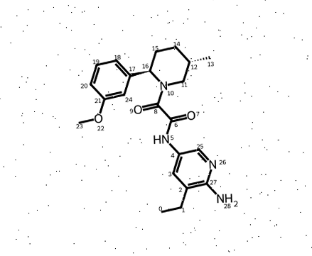 CCc1cc(NC(=O)C(=O)N2C[C@@H](C)CC[C@@H]2c2cccc(OC)c2)cnc1N